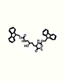 COC(=O)C(CCC(O)CNC(=O)OCC1c2ccccc2-c2ccccc21)NC(=O)OCC1c2ccccc2-c2ccccc21